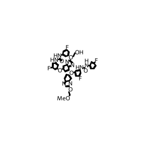 COCCOc1cnc2ccc(Oc3cc(F)cc(NC(=O)Nc4cccc(F)c4)c3)cc2n1.O=C(Nc1cccc(F)c1)Nc1cc(F)cc(Oc2ccc3ncc(OCCO)nc3c2)c1